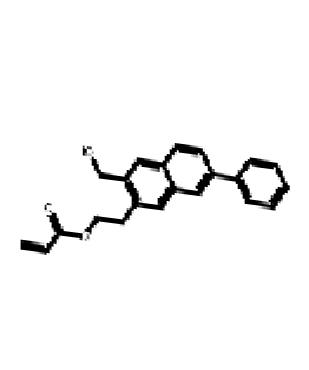 C=CC(=O)OCCc1cc2cc(-c3ccccc3)ccc2cc1CO